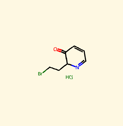 Cl.O=C1C=CC=NC1CCBr